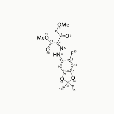 COCC(=O)C(=NNc1cc2c(cc1F)OC(F)(F)O2)C(=O)OC